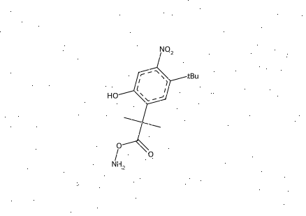 CC(C)(C)c1cc(C(C)(C)C(=O)ON)c(O)cc1[N+](=O)[O-]